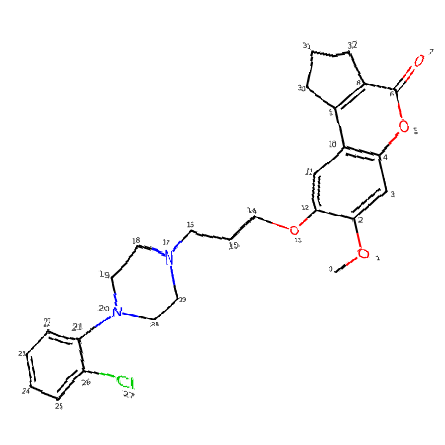 COc1cc2oc(=O)c3c(c2cc1OCCCN1CCN(c2ccccc2Cl)CC1)CCC3